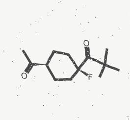 CC(=O)[C@H]1CC[C@](F)(C(=O)C(C)(C)C)CC1